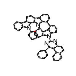 c1ccc(-c2nc(-n3c4cccc5c6cccc7c8ccc9c%10ccccc%10n(-c%10ccccc%10)c9c8n(c8cccc3c8c54)c67)nc3ccc4ccccc4c23)cc1